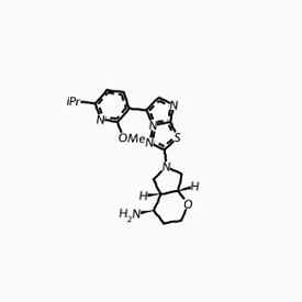 COc1nc(C(C)C)ccc1-c1cnc2sc(N3C[C@H]4[C@H](N)CCO[C@H]4C3)nn12